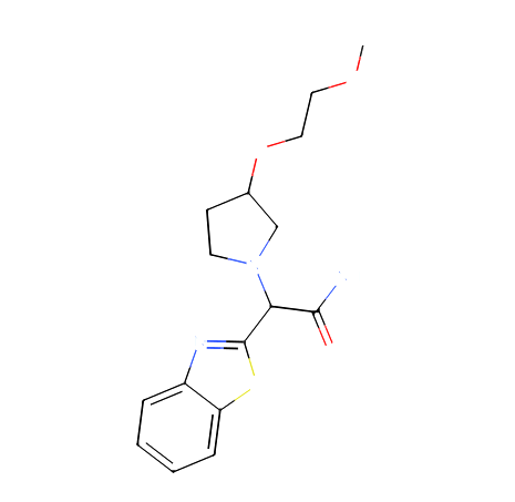 CCOCCOC1CCN(C(C(N)=O)c2nc3ccccc3s2)C1